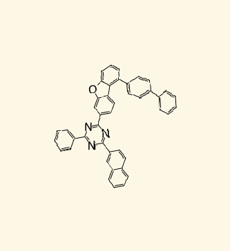 c1ccc(-c2ccc(-c3cccc4oc5cc(-c6nc(-c7ccccc7)nc(-c7ccc8ccccc8c7)n6)ccc5c34)cc2)cc1